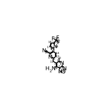 Cc1nc2nonc2c(N)c1Cc1ccc(-n2ccc(C(F)(F)F)n2)c(C#N)n1